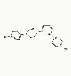 Oc1ccc(-c2cccc(C3C=CC(c4ccc(O)cc4)CC3)c2)cc1